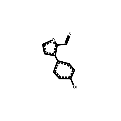 Oc1ccc(-c2ccoc2C=S)cc1